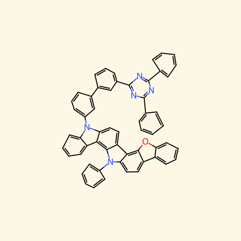 c1ccc(-c2nc(-c3ccccc3)nc(-c3cccc(-c4cccc(-n5c6ccccc6c6c5ccc5c7c8oc9ccccc9c8ccc7n(-c7ccccc7)c56)c4)c3)n2)cc1